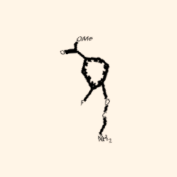 COC(=O)c1ccc(OCCN)c(F)c1